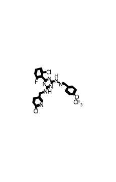 Fc1cccc(Cl)c1-c1nc(NCc2ccc(Cl)nc2)nc(NN=Cc2ccc(OC(F)(F)F)cc2)n1